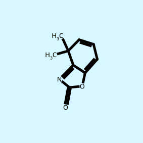 CC1(C)C=CC=C2OC(=O)N=C21